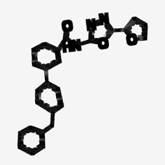 O=C(Nc1nnc(-c2ccco2)o1)c1cccc(-c2ccc(Cc3ccccc3)cc2)c1